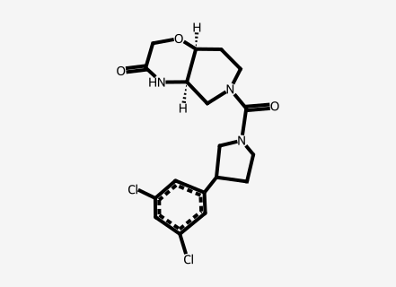 O=C1CO[C@H]2CCN(C(=O)N3CCC(c4cc(Cl)cc(Cl)c4)C3)C[C@H]2N1